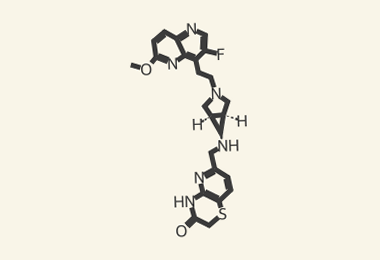 COc1ccc2ncc(F)c(CCN3C[C@@H]4[C@H](C3)[C@H]4NCc3ccc4c(n3)NC(=O)CS4)c2n1